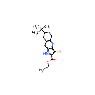 Bc1c(C(=O)OCC)[nH]c2cc3c(nc12)CCC(C(C)(C)C)C3